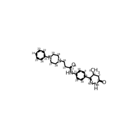 CC1CC(=O)NN=C1c1ccc(NC(=O)CCN2CCN(c3ccccc3)CC2)cc1